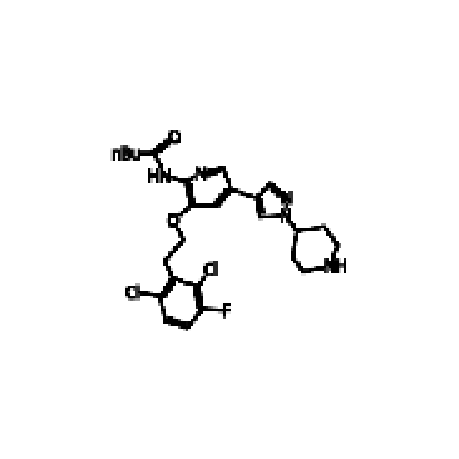 CCCCC(=O)Nc1ncc(-c2cnn(C3CCNCC3)c2)cc1OCCc1c(Cl)ccc(F)c1Cl